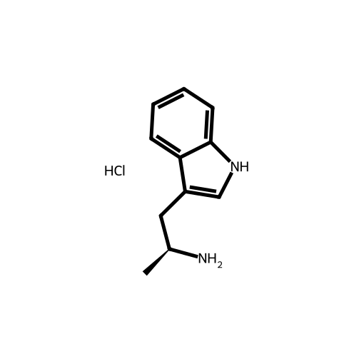 C[C@H](N)Cc1c[nH]c2ccccc12.Cl